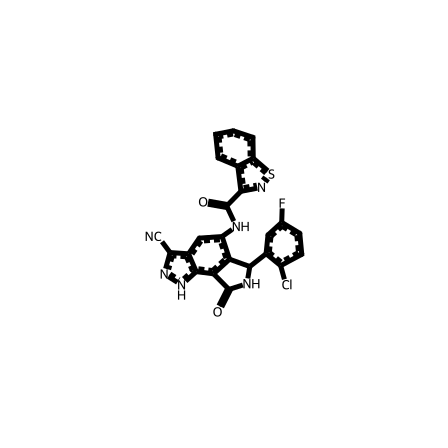 N#Cc1n[nH]c2c3c(c(NC(=O)c4nsc5ccccc45)cc12)C(c1cc(F)ccc1Cl)NC3=O